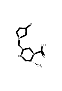 C[C@@H]1CN[C@@H](CN2CCC(F)C2)CN1C(=O)O